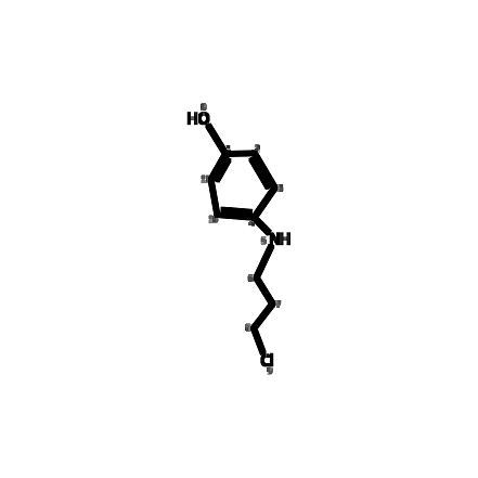 Oc1ccc(NCCCCl)cc1